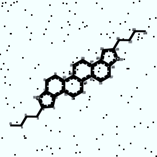 CCCCc1cc2c(ccc3c2ccc2c4ccc5oc(CCCC)cc5c4ccc32)o1